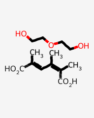 CC(=CC(C)=C(C)C(=O)O)C(=O)O.OCCOCCO